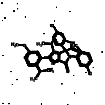 COc1ccc(C(C)C)c(-c2nc3c(n2C(C)C)C2(C(=O)Nc4cc(Cl)ccc42)N(c2cc(Cl)ccc2C)C3=O)c1